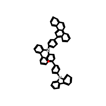 c1ccc(-c2ccccc2N(c2ccc(-c3ccc(-n4c5ccccc5c5ccccc54)cc3)cc2)c2ccc(-c3cc4c5ccccc5ccc4c4ccccc34)cc2)cc1